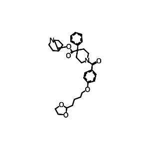 O=C(c1ccc(OCCCCC2OCCO2)cc1)N1CCC(C(=O)OC2CN3CCC2CC3)(c2ccccc2)CC1